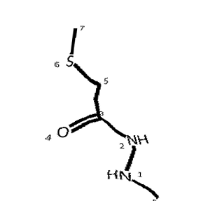 CNNC(=O)CSC